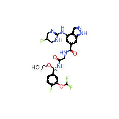 O=C(CNC(=O)c1cc(NC2=NCC(F)CN2)c2cn[nH]c2c1)N[C@@H](OC(=O)O)c1ccc(F)c(OC(F)F)c1